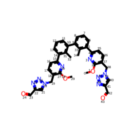 COc1nc(-c2cccc(-c3cccc(-c4ccc(Cn5cc(C=O)nn5)c(OC)n4)c3C)c2C)ccc1Cn1cc(C=O)nn1